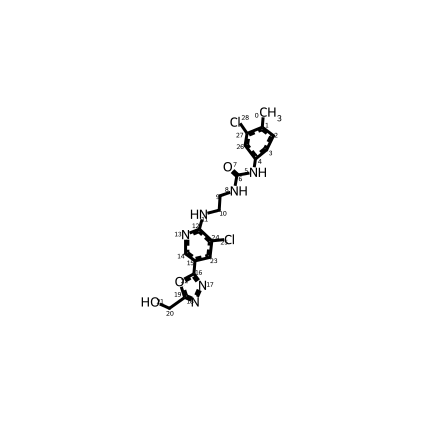 Cc1ccc(NC(=O)NCCNc2ncc(-c3nnc(CO)o3)cc2Cl)cc1Cl